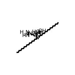 CCCCCCCCCCCCCCCCN(CCCCCCCCCCCCCCCC)[C@@H](CCCNC(=N)N)C(=O)OP(=O)(O)O